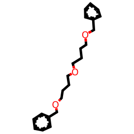 c1ccc(COCCCCOCCCCOCc2ccccc2)cc1